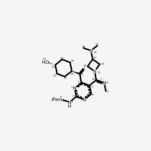 C=C(c1nc(NC(C)CCC)ncc1/C(=N\C)N1CC(N(C)C)C1)[C@H]1CC[C@H](O)CC1